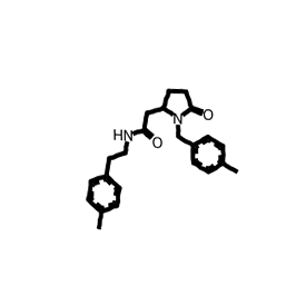 Cc1ccc(CCNC(=O)CC2CCC(=O)N2Cc2ccc(C)cc2)cc1